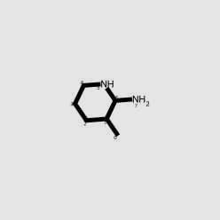 CC1CCCNC1N